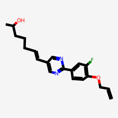 C=CCOc1ccc(-c2ncc(C=CCCCC(C)O)cn2)cc1F